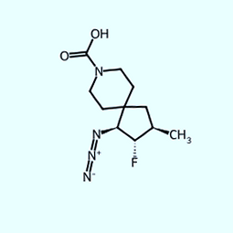 C[C@@H]1CC2(CCN(C(=O)O)CC2)[C@H](N=[N+]=[N-])[C@H]1F